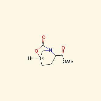 COC(=O)C1CC[C@@H]2CN1C(=O)O2